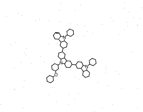 C1=CC2C(CC1)C1CC(C3CCC4C(C3)C3CC(C5CCC6C(C5)C5CCCCC5N6C5CCCCC5)CCC3N4C3CCCC(OC4CCCCC4)C3)CCC1N2C1CCCCC1